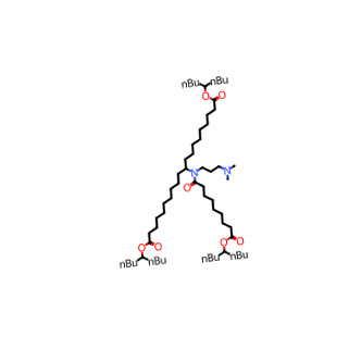 CCCCC(CCCC)OC(=O)CCCCCCCCCC(CCCCCCCCC(=O)OC(CCCC)CCCC)N(CCCN(C)C)C(=O)CCCCCCCC(=O)OC(CCCC)CCCC